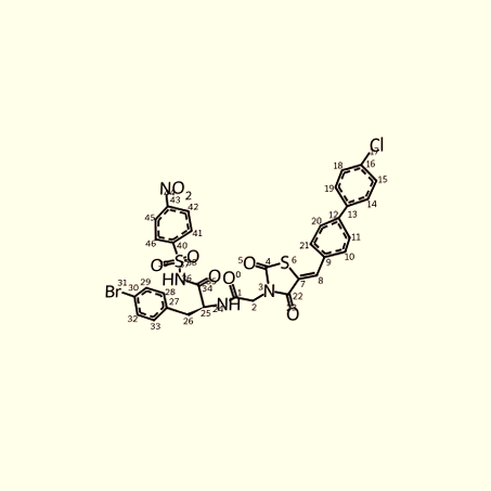 O=C(CN1C(=O)SC(=Cc2ccc(-c3ccc(Cl)cc3)cc2)C1=O)N[C@@H](Cc1ccc(Br)cc1)C(=O)NS(=O)(=O)c1ccc([N+](=O)[O-])cc1